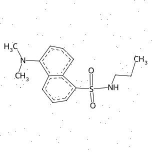 CCCNS(=O)(=O)c1cccc2c(N(C)C)cccc12